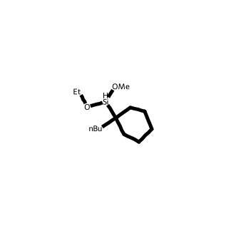 CCCCC1([SiH](OC)OCC)CCCCC1